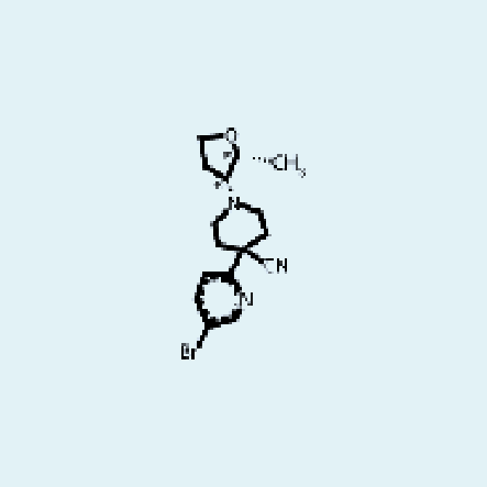 C[C@H]1OCC[C@H]1N1CCC(C#N)(c2ccc(Br)cn2)CC1